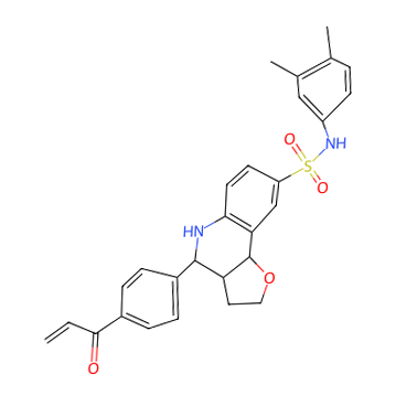 C=CC(=O)c1ccc(C2Nc3ccc(S(=O)(=O)Nc4ccc(C)c(C)c4)cc3C3OCCC23)cc1